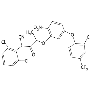 CC(Oc1cc(Oc2ccc(C(F)(F)F)cc2Cl)ccc1[N+](=O)[O-])C(=O)C(C#N)c1c(Cl)cccc1Cl